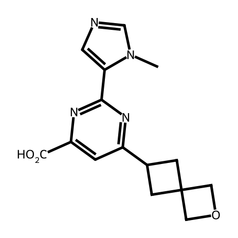 Cn1cncc1-c1nc(C(=O)O)cc(C2CC3(COC3)C2)n1